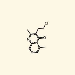 Cc1nc2cccc(C)n2c(=O)c1CCCl